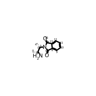 C[C@@H](N)[C@H](C)N1C(=O)c2ccccc2C1=O